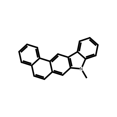 Cn1c2ccccc2c2cc3c(ccc4ccccc43)cc21